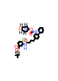 COC1(CO[Si](C)(C)C(C)(C)C)C=CC(Cl)C(NC(=O)CCCc2ccc(-c3ccccc3)c(NC(=O)O[C@@H]3C[C@@H]4[C@H]5O[C@H]5[C@H](C3)N4C)c2)=C1